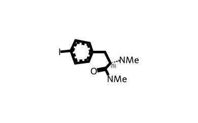 CNC(=O)[C@H](Cc1ccc(I)cc1)NC